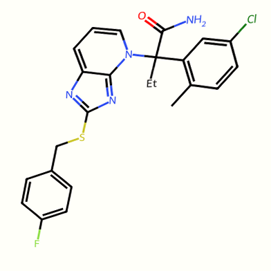 CCC(C(N)=O)(c1cc(Cl)ccc1C)n1cccc2nc(SCc3ccc(F)cc3)nc1-2